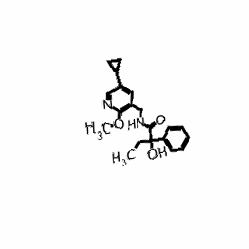 CCC(O)(C(=O)NCc1cc(C2CC2)cnc1OC)c1ccccc1